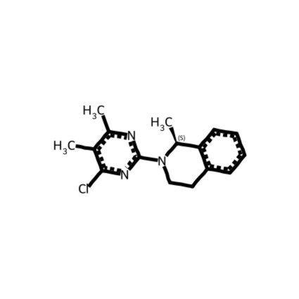 Cc1nc(N2CCc3ccccc3[C@@H]2C)nc(Cl)c1C